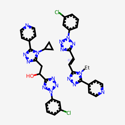 CCn1c(/C=C/c2nnn(-c3cccc(Cl)c3)n2)nnc1-c1ccncc1.OC(Cc1nnc(-c2ccncc2)n1C1CC1)c1nnn(-c2cccc(Cl)c2)n1